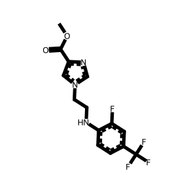 COC(=O)c1cn(CCNc2ccc(C(F)(F)F)cc2F)cn1